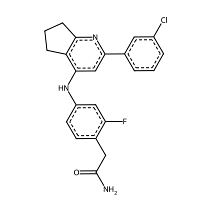 NC(=O)Cc1ccc(Nc2cc(-c3cccc(Cl)c3)nc3c2CCC3)cc1F